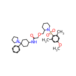 COc1cc(C)c(S(=O)(=O)N2CCCCC2COCC(=O)NC2CCC(c3ccccc3)(N3CCCC3)CC2)c(C)c1